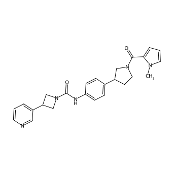 Cn1cccc1C(=O)N1CCC(c2ccc(NC(=O)N3CC(c4cccnc4)C3)cc2)C1